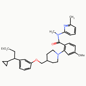 CCOC(=O)CC(c1cccc(OCC2CCN(c3cc(OC)ccc3C(=O)N(C)c3cccc(C)n3)CC2)c1)C1CC1